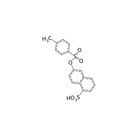 Cc1ccc(S(=O)(=O)Oc2ccc3c(S(=O)(=O)O)cccc3c2)cc1